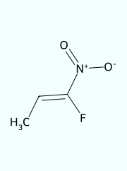 CC=C(F)[N+](=O)[O-]